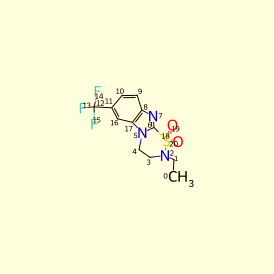 CCN1CCn2c(nc3ccc(C(F)(F)F)cc32)S1(=O)=O